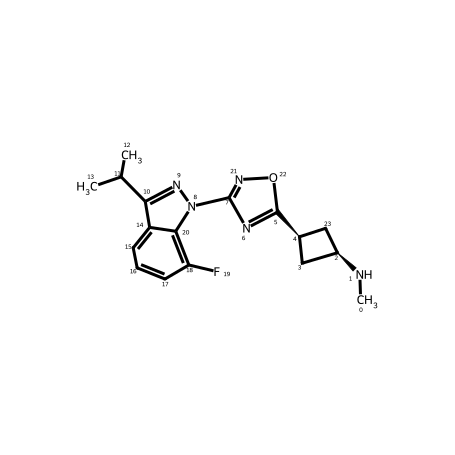 CN[C@H]1C[C@@H](c2nc(-n3nc(C(C)C)c4cccc(F)c43)no2)C1